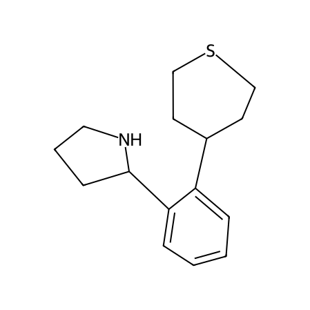 c1ccc(C2CCCN2)c(C2CCSCC2)c1